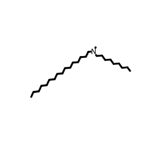 CCCCCCCCCCCCCCCCN(C)CCCCCCCCC